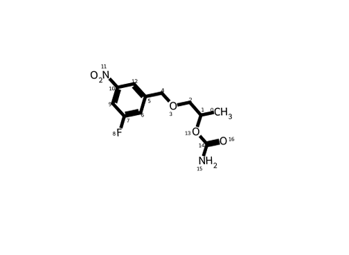 CC(COCc1cc(F)cc([N+](=O)[O-])c1)OC(N)=O